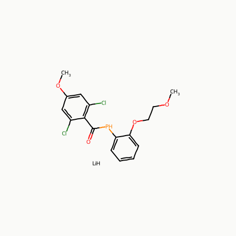 COCCOc1ccccc1PC(=O)c1c(Cl)cc(OC)cc1Cl.[LiH]